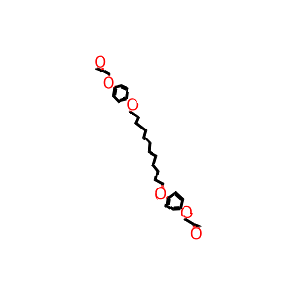 c1cc(OCC2CO2)ccc1OCCCCCCCCCCCCOc1ccc(OCC2CO2)cc1